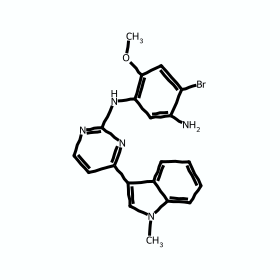 COc1cc(Br)c(N)cc1Nc1nccc(-c2cn(C)c3ccccc23)n1